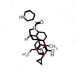 CCc1ccc(O)cc1C12CCN(CC3CC3)C(C)C13CCC1C2[C@@H](CN1C(=O)[C@H]1CCCNC1)C3